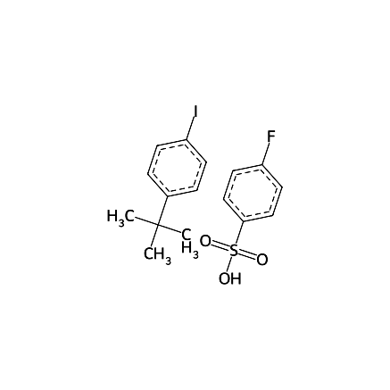 CC(C)(C)c1ccc(I)cc1.O=S(=O)(O)c1ccc(F)cc1